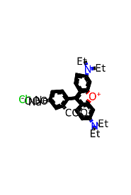 CCN(CC)c1ccc2c(-c3ccc(C(=O)[O-])cc3C(=O)[O-])c3ccc(N(CC)CC)cc3[o+]c2c1.[Cl-].[Na+].[Na+]